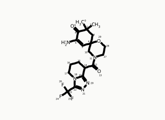 CC1(C)CC2(C=C(N)C1=O)CN(C(=O)C1CCCn3c1nnc3C(F)(F)F)CCO2